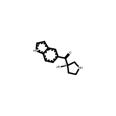 CCC[C@]1(C(=O)c2ccc3[nH]ccc3c2)CCNC1